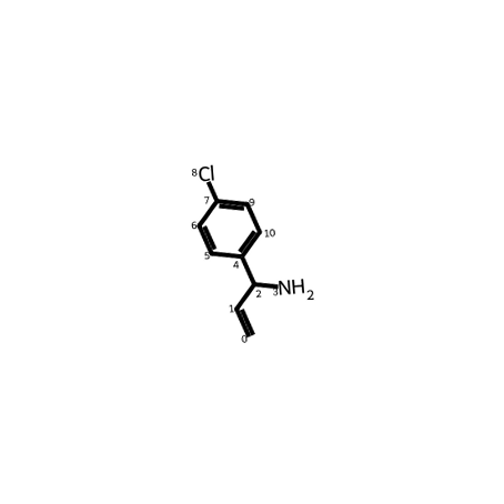 C=CC(N)c1ccc(Cl)cc1